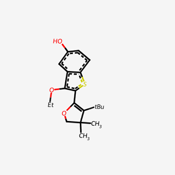 CCOc1c(C2=C(C(C)(C)C)C(C)(C)CO2)sc2ccc(O)cc12